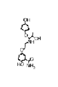 CC(O)C(NCCOc1ccc(O)c(C(N)=O)c1)Oc1ccc(O)cc1